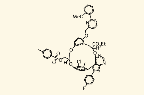 CCOC(=O)[C@H]1Cc2cc(ccc2OCc2ccnc(-c3ccccc3OC)n2)OC[C@@H](COS(=O)(=O)c2ccc(C)cc2)Oc2ccc(c(C)c2Cl)-c2c(-c3ccc(F)cc3)sc3ncnc(c23)O1